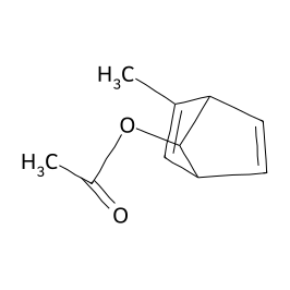 CC(=O)OC1C2C=CC1C(C)=C2